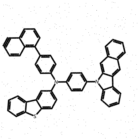 c1ccc2c(-c3ccc(N(c4ccc(-n5c6ccccc6c6cc7ccccc7cc65)cc4)c4ccc5sc6ccccc6c5c4)cc3)cccc2c#1